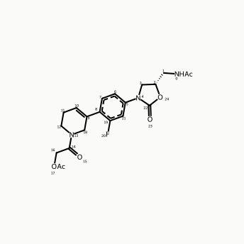 CC(=O)NC[C@H]1CN(c2ccc(C3=CCCN(C(=O)COC(C)=O)C3)c(F)c2)C(=O)O1